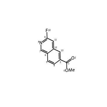 COC(=O)c1ccc2cnc(F)cc2c1